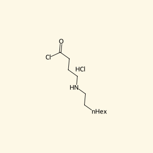 CCCCCCCCNCCCC(=O)Cl.Cl